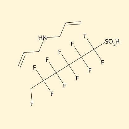 C=CCNCC=C.O=S(=O)(O)C(F)(F)C(F)(F)C(F)(F)C(F)(F)C(F)(F)CF